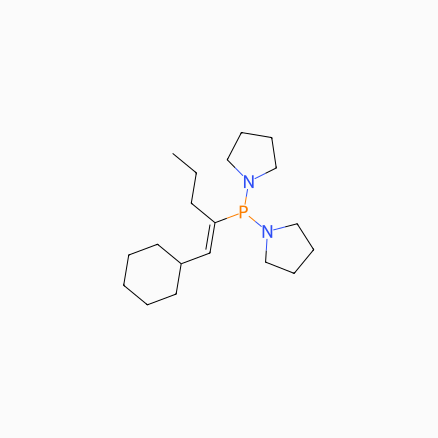 CCCC(=CC1CCCCC1)P(N1CCCC1)N1CCCC1